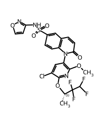 COc1nc(O[C@@H](C)C(F)(F)C(F)F)c(Cl)cc1-n1c(=O)ccc2cc(S(=O)(=O)Nc3ccon3)ccc21